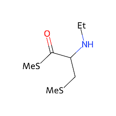 CCNC(CSC)C(=O)SC